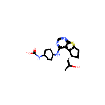 CC(O)C[C@H]1CCc2sc3ncnc(NC4CCC(NC(=O)O)CC4)c3c21